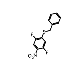 O=[N+]([O-])c1cc(F)c(SCc2ccccc2)cc1F